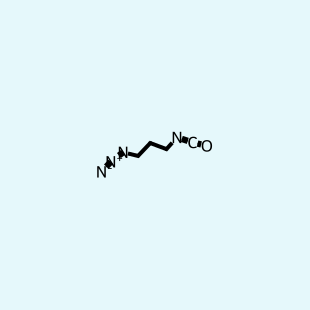 [N-]=[N+]=NCCCN=C=O